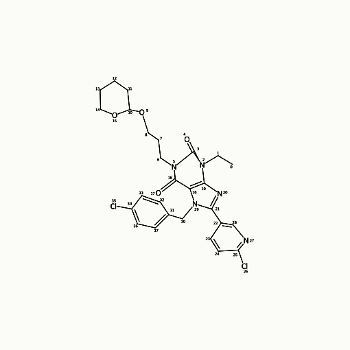 CCn1c(=O)n(CCCOC2CCCCO2)c(=O)c2c1nc(-c1ccc(Cl)nc1)n2Cc1ccc(Cl)cc1